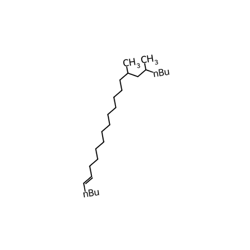 [CH2]CCC/C=C/CCCCCCCCCCCC(C)CC(C)CCC[CH2]